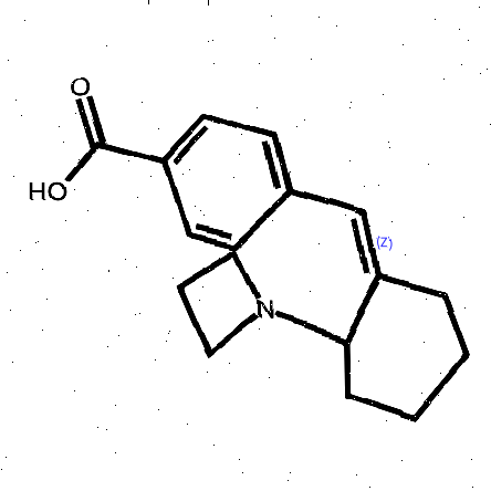 O=C(O)c1ccc(/C=C2/CCCCC2N2CCC2)cc1